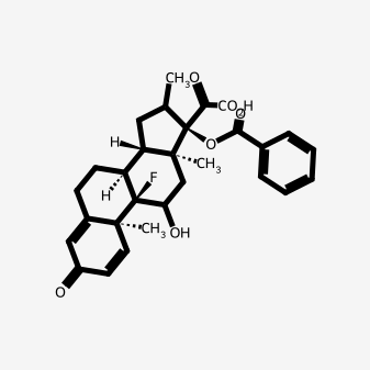 CC1C[C@H]2[C@@H]3CCC4=CC(=O)C=C[C@]4(C)[C@@]3(F)C(O)C[C@]2(C)[C@@]1(OC(=O)c1ccccc1)C(=O)C(=O)O